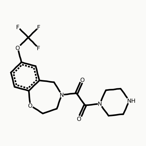 O=C(C(=O)N1CCOc2ccc(OC(F)(F)F)cc2C1)N1CCNCC1